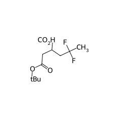 CC(F)(F)CC(CC(=O)OC(C)(C)C)C(=O)O